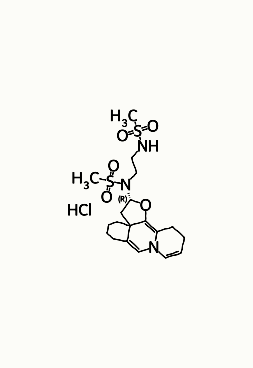 CS(=O)(=O)NCCN([C@H]1CC23CCCCC2=CN2C=CCCC2=C3O1)S(C)(=O)=O.Cl